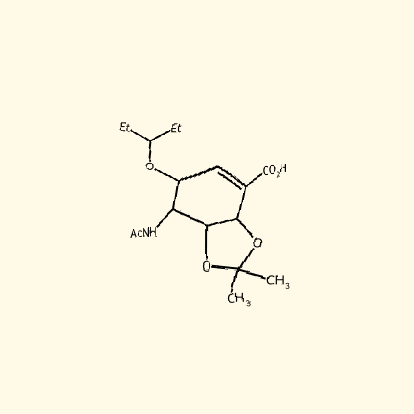 CCC(CC)OC1C=C(C(=O)O)C2OC(C)(C)OC2C1NC(C)=O